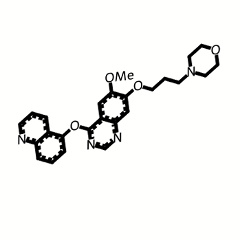 COc1cc2c(Oc3cccc4ncccc34)ncnc2cc1OCCCN1CCOCC1